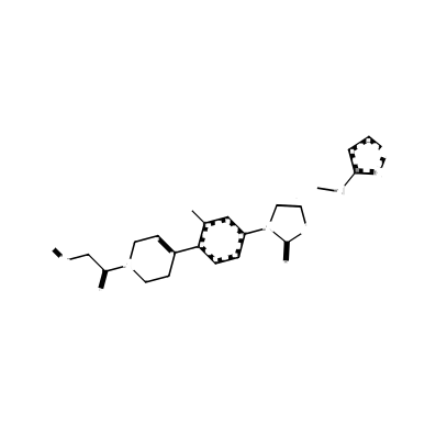 O=PCC(=O)N1CC=C(c2ccc(N3C[C@H](CNc4ccon4)OC3=O)cc2F)CC1